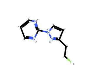 FCCc1ccn(-c2ncccn2)n1